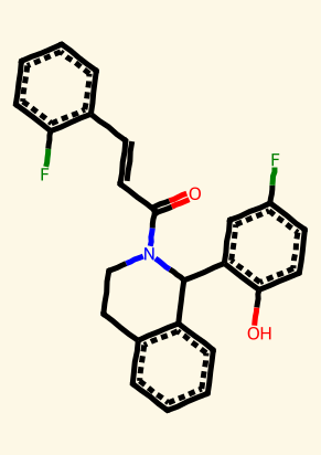 O=C(/C=C/c1ccccc1F)N1CCc2ccccc2C1c1cc(F)ccc1O